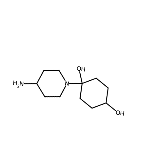 NC1CCN(C2(O)CCC(O)CC2)CC1